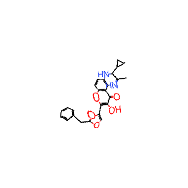 CC(=N)C(Nc1ccc2oc(C3=COC(Cc4ccccc4)O3)c(O)c(=O)c2c1)C1CC1